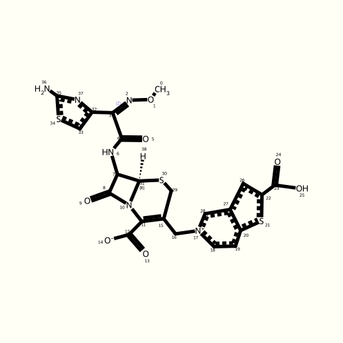 CO/N=C(\C(=O)NC1C(=O)N2C(C(=O)[O-])=C(C[n+]3ccc4sc(C(=O)O)cc4c3)CS[C@H]12)c1csc(N)n1